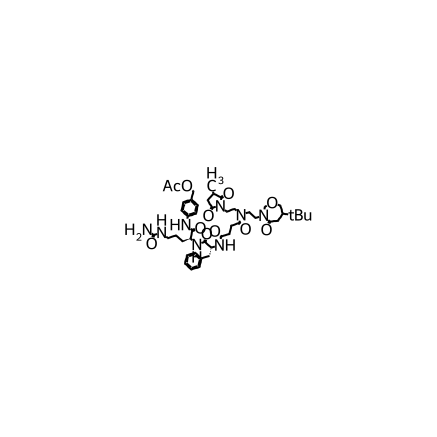 CC(=O)OCc1ccc(NC(=O)[C@H](CCCNC(N)=O)NC(=O)[C@@H](Cc2ccccc2)NC(=O)CCC(=O)N(CCN2COCC(C(C)(C)C)CC2=O)CCN2C(=O)CC(C)C2=O)cc1